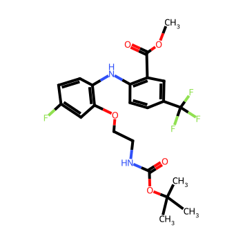 COC(=O)c1cc(C(F)(F)F)ccc1Nc1ccc(F)cc1OCCNC(=O)OC(C)(C)C